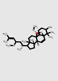 COC(C=C(C)C)C[C@@H](C)C1CC[C@@]2(C)[C@H]3C=CC45O[C@@H](OC)C3(CCC12C)[C@@H]4CCC(O)C5(C)C